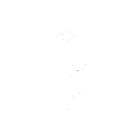 CN1C(=O)[C@@H](NC(=O)OC(C)(C)C)COc2ccc(OCc3cn(CC(C)(C)O)nn3)cc21